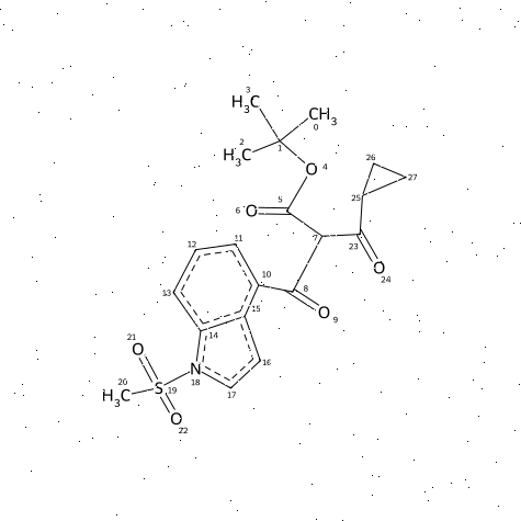 CC(C)(C)OC(=O)C(C(=O)c1cccc2c1ccn2S(C)(=O)=O)C(=O)C1CC1